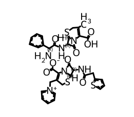 CC1=C(C(=O)O)N2C(=O)[C@@H](NC(=O)[C@H](N)c3ccccc3)[C@H]2SC1.O=C(Cc1cccs1)N[C@@H]1C(=O)N2C(C(=O)[O-])=C(C[n+]3ccccc3)CS[C@H]12